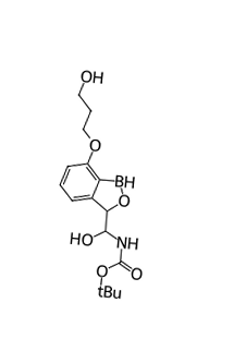 CC(C)(C)OC(=O)NC(O)C1OBc2c(OCCCO)cccc21